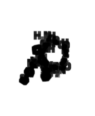 NC(=O)C[C@@H]1NC(=O)CCC(=O)NCCCC[C@@H](C(N)=O)NC(=O)[C@H](Cc2csc3ccccc23)NC(=O)[C@@H]2C[C@H](n3cc(-c4ccc(-c5cccs5)cc4)nn3)CN2C(=O)[C@H](C2CCCCC2)NC1=O